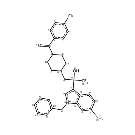 O=C(c1ccc(Cl)cc1)C1CCN(CC(O)(c2cn(Cc3ccccc3)c3cc([N+](=O)[O-])ccc23)C(F)(F)F)CC1